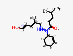 CCCC(CC)CCC(=O)N(NCC(CC)C/C=C/O)C1C=CCCC1